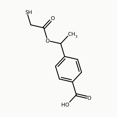 CC(OC(=O)CS)c1ccc(C(=O)O)cc1